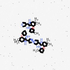 CC1(C)CC(=O)c2c([nH]c(-c3ccnnc3)c2Nc2ccccc2)C1.Cc1ccc(Nc2c(-c3ccncc3)[nH]c3c2C(=O)CC(C)(C)C3)cc1.Cc1ccccc1Nc1c(-c2ccncc2)[nH]c2c1C(=O)CC(C)(C)C2